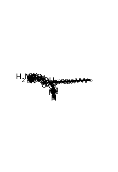 CCCCCCCCCCCCCCCCCCOC[C@@H](COP(=O)(O)OC[C@]1(C)CC[C@H](c2ccc3c(N)ncnn23)O1)OCc1cnc(C#N)cn1